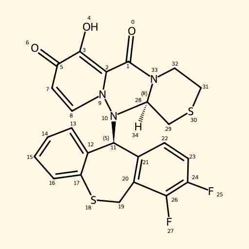 O=C1c2c(O)c(=O)ccn2N([C@@H]2c3ccccc3SCc3c2ccc(F)c3F)[C@@H]2CSCCN12